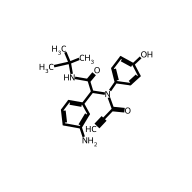 C#CC(=O)N(c1ccc(O)cc1)C(C(=O)NC(C)(C)C)c1cccc(N)c1